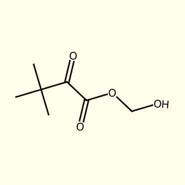 CC(C)(C)C(=O)C(=O)OCO